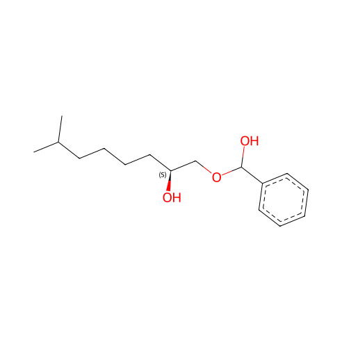 CC(C)CCCC[C@H](O)COC(O)c1ccccc1